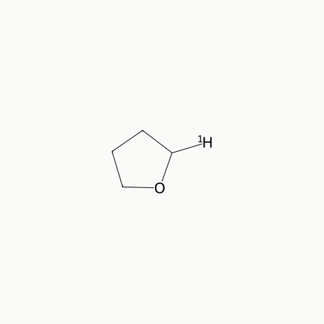 [1H]C1CCCO1